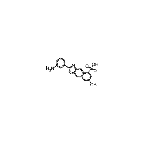 Nc1cccc(-c2nc3cc4c(S(=O)(=O)O)cc(O)cc4cc3s2)c1